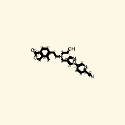 Cc1c(CCN(CCO)Cc2cnn(-c3ccc(C#N)nc3)c2)ccc2c1COC2=O